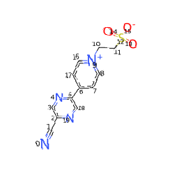 N#Cc1cnc(-c2cc[n+](CCS(=O)(=O)[O-])cc2)cn1